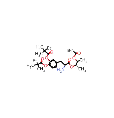 CCCC(=O)OC(C)[C@H](C)OC(=O)[C@@H](N)Cc1ccc(OC(=O)C(C)(C)CC)c(OC(=O)C(C)(C)CC)c1